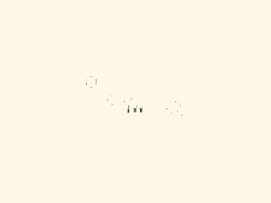 O=C(N[C@@H](CNC(=O)[C@H]1C[C@H](CCCNC2=NCCN2)ON1)C(=O)O)OCc1ccccc1